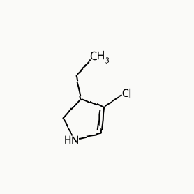 CCC1CNC=C1Cl